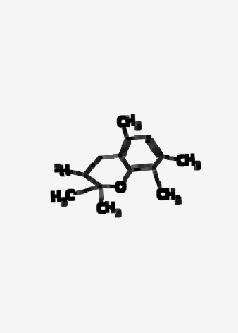 [2H]C1Cc2c(C)cc(C)c(C)c2OC1(C)C